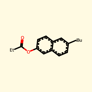 CCC(=O)Oc1ccc2cc(C(C)CC)ccc2c1